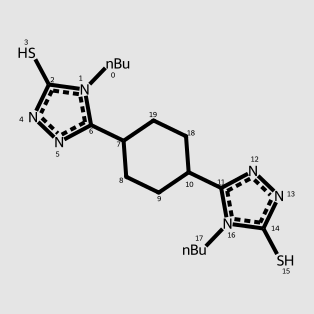 CCCCn1c(S)nnc1C1CCC(c2nnc(S)n2CCCC)CC1